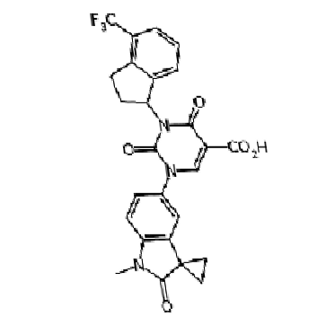 CN1C(=O)C2(CC2)c2cc(-n3cc(C(=O)O)c(=O)n(C4CCc5c4cccc5C(F)(F)F)c3=O)ccc21